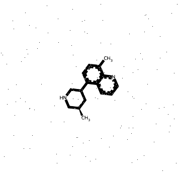 Cc1ccc(C2CNC[C@H](C)C2)c2cccnc12